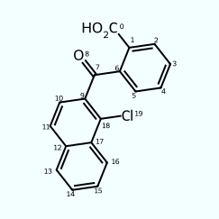 O=C(O)c1ccccc1C(=O)c1ccc2ccccc2c1Cl